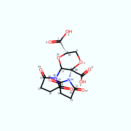 O=C(O)[C@@H]1CO[C@](C(=O)O)(N2C(=O)CCC2=O)C(N2C(=O)CCC2=O)O1